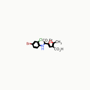 CCOC(=O)C(Nc1ccc(Br)cc1Cl)c1cc(C(=O)O)c(C)o1